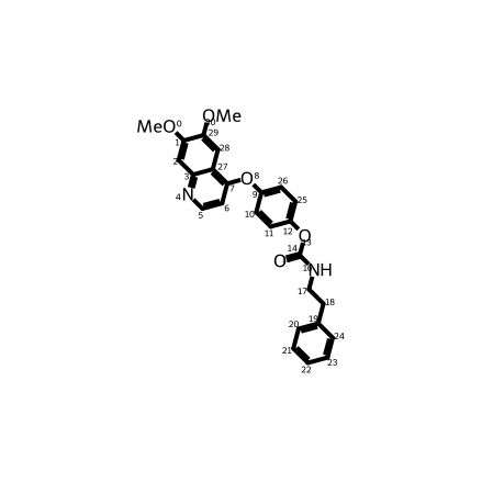 COc1cc2nccc(Oc3ccc(OC(=O)NCCc4ccccc4)cc3)c2cc1OC